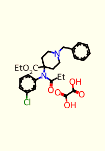 CCOC(=O)C1(N(C(=O)CC)c2cccc(Cl)c2)CCN(Cc2ccccc2)CC1.O=C(O)C(=O)O